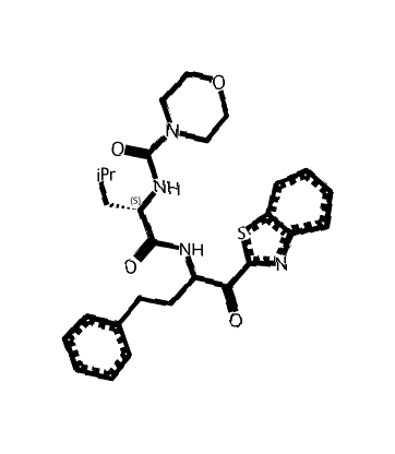 CC(C)C[C@H](NC(=O)N1CCOCC1)C(=O)NC(CCc1ccccc1)C(=O)c1nc2ccccc2s1